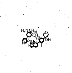 C[C@H]1C[C@@H](c2ccncc2Nc2ncc3ccc(-c4c(F)cc(C5(O)CCOCC5)cc4F)nn23)C[C@@H](N)[C@]1(C)O